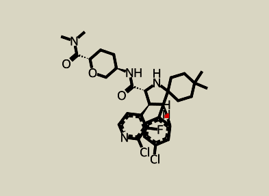 CN(C)C(=O)[C@@H]1CC[C@@H](NC(=O)[C@@H]2NC3(CCC(C)(C)CC3)[C@@]3(CNc4cc(Cl)ccc43)[C@H]2c2ccnc(Cl)c2F)CO1